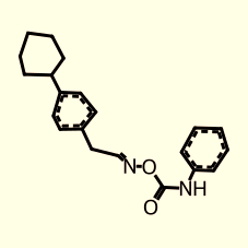 O=C(Nc1ccccc1)ON=CCc1ccc(C2CCCCC2)cc1